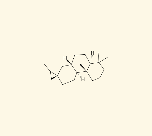 CC1C[C@@]12CC[C@H]1[C@@H](CC[C@H]3C(C)(C)CCC[C@]13C)C2